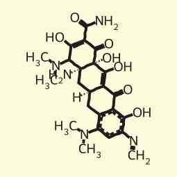 C=Nc1cc(N(C)C)c2c(c1O)C(=O)C1=C(O)[C@]3(O)C(=O)C(C(N)=O)=C(O)C(N(C)C)[C@]3(N)C[C@@H]1C2